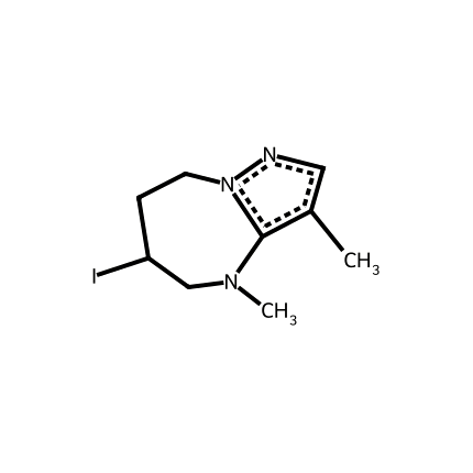 Cc1cnn2c1N(C)CC(I)CC2